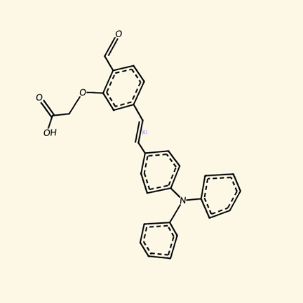 O=Cc1ccc(/C=C/c2ccc(N(c3ccccc3)c3ccccc3)cc2)cc1OCC(=O)O